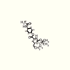 CSCC[C@H](NC(=O)OC(C)(C)C)C(=O)Oc1ccc(NC(C)=O)cc1